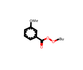 CC[C](C)OOC(=O)c1cccc(OC)c1